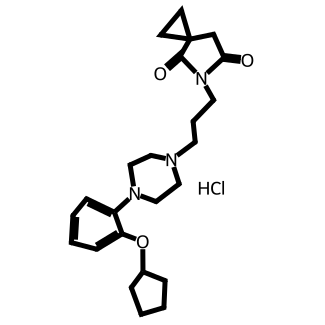 Cl.O=C1CC2(CC2)C(=O)N1CCCN1CCN(c2ccccc2OC2CCCC2)CC1